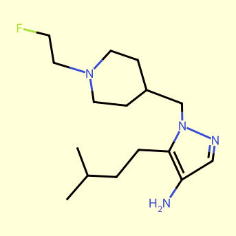 CC(C)CCc1c(N)cnn1CC1CCN(CCF)CC1